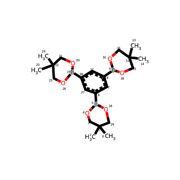 CC1(C)COB(c2cc(B3OCC(C)(C)CO3)cc(B3OCC(C)(C)CO3)c2)OC1